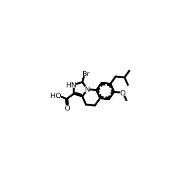 COc1cc2c(cc1CC(C)C)N1C(=C(C(=O)O)NC1Br)CC2